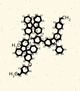 C=CC1=CCC(C2CC=C3C(C2)C2=C(C=CC(C4=CC=C(N(C5C=CC6(C)C7CCCCC7C(C7=CCC(OC8CC=C(C=C)CC8)CC7)(C7CCCCC7)C6C5)C5CCC6=C(C5)C5(C7=C(CCC=C7)C7=C5CCCC7)C5CCCCC65)CC4)C2)N3C2CC=CCC2)C=C1